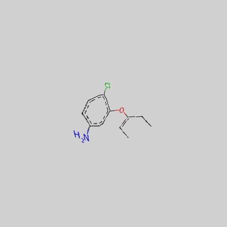 CC=C(CC)Oc1cc(N)ccc1Cl